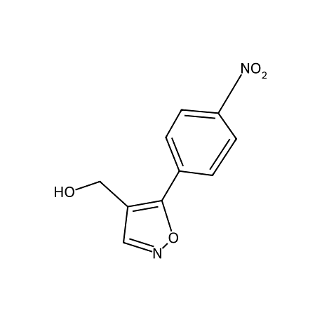 O=[N+]([O-])c1ccc(-c2oncc2CO)cc1